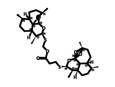 C[C@H]1[C@H](SCCC(=O)OCS[C@@H]2O[C@@H]3O[C@]4(C)CC[C@H]5[C@H](C)CC[C@@H]([C@H]2C)[C@@]35OO4)O[C@@H]2O[C@]3(C)CC[C@H]4[C@H](C)CC[C@@H]1[C@@]24OO3